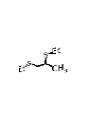 CCSCC(C)SCC